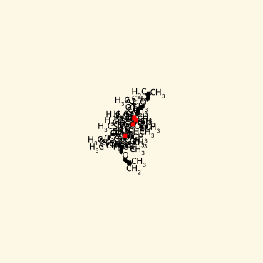 C=C(C)COCCC[Si](O[Si](O[Si](C)(C)C)(O[Si](C)(C)C)O[Si](O[Si](C)(C)C)(O[Si](C)(C)C)O[Si](CCCOCC(=C)C)([Si](C)(C)O[Si](C)(C)C)[Si](C)(C)O[Si](C)(C)C)([Si](C)(C)O[Si](C)(C)C)[Si](C)(C)O[Si](C)(C)C